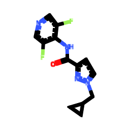 O=C(Nc1c(F)cncc1F)c1ccn(CC2CC2)n1